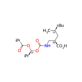 CCCC[C@H](C)C[C@H](CNC(=O)O[C@H](OC(=O)C(C)C)C(C)C)C(=O)O